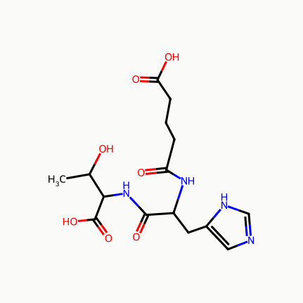 CC(O)C(NC(=O)C(Cc1cnc[nH]1)NC(=O)CCCC(=O)O)C(=O)O